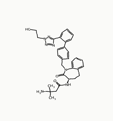 CC(C)(N)CC(=O)N[C@@H]1CCc2ccccc2N(Cc2ccc(-c3ccccc3-c3nnn(CCO)n3)cc2)C1=O